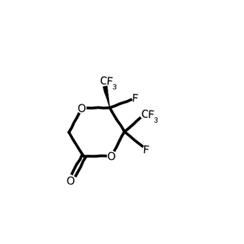 O=C1CO[C@@](F)(C(F)(F)F)C(F)(C(F)(F)F)O1